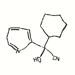 N#CC(O)(c1ccccn1)C1CCCCC1